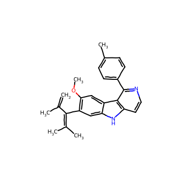 C=C(C)C(=C(C)C)c1cc2[nH]c3ccnc(-c4ccc(C)cc4)c3c2cc1OC